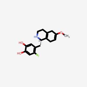 COC1=CCC2=C(CCN[C@H]2Cc2cc(O)c(O)cc2F)C1